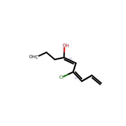 C=C/C=C(Cl)\C=C(\O)CCC=O